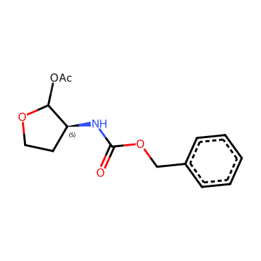 CC(=O)OC1OCC[C@@H]1NC(=O)OCc1ccccc1